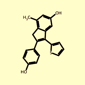 Cc1cc(O)cc2c1CC(c1ccc(O)cc1)=C2c1cccs1